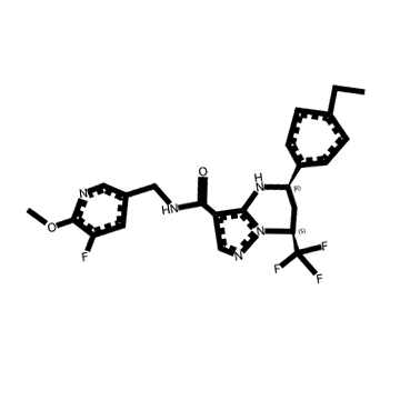 CCc1ccc([C@H]2C[C@@H](C(F)(F)F)n3ncc(C(=O)NCc4cnc(OC)c(F)c4)c3N2)cc1